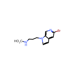 O=C(O)NCCCn1ccc2cc(Br)ncc21